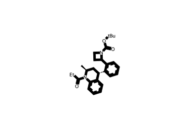 CCC(=O)N1c2ccccc2[C@@H](c2ccccc2C2CCN2C(=O)OC(C)(C)C)C[C@@H]1C